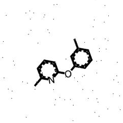 Cc1cccc(Oc2cccc(C)n2)c1